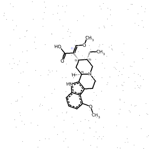 CC[C@@H]1CN2CCc3c([nH]c4cccc(OC)c34)[C@H]2C[C@@H]1/C(=C\OC)C(=O)O